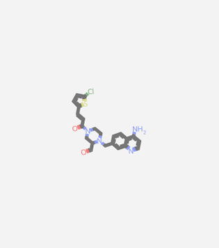 Nc1ccnc2cc(CN3CCN(C(=O)C=Cc4ccc(Cl)s4)CC3C=O)ccc12